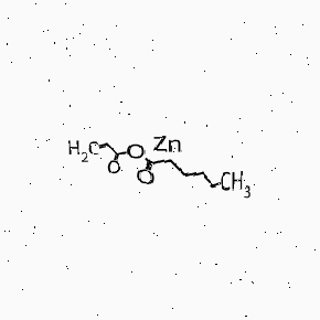 C=CC(=O)OC(=O)CCCCC.[Zn]